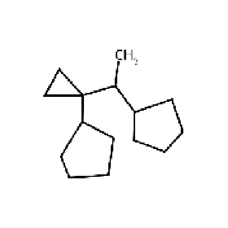 CC(C1CCCC1)C1(C2CCCC2)CC1